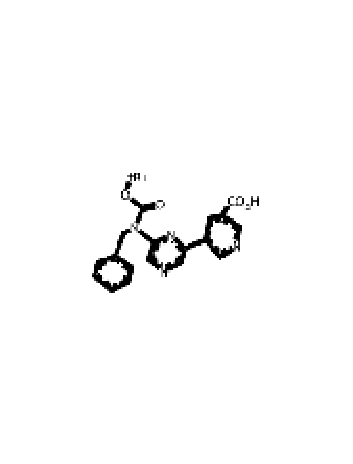 CC(C)(C)OC(=O)N(Cc1ccccc1)c1cncc(-c2cncc(C(=O)O)c2)n1